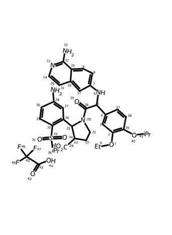 CCOc1cc(C(Nc2ccc3c(N)nccc3c2)C(=O)N2CCC(C(=O)O)C2c2cc(N)ccc2S(=O)(=O)C(C)C)ccc1OC(C)C.O=C(O)C(F)(F)F